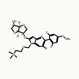 CCCCOc1cc(F)c(-c2nc3cc(O[C@@H]4CO[C@H]5[C@@H]4OC[C@H]5O)n(COCC[Si](C)(C)C)c3cc2F)c(F)c1